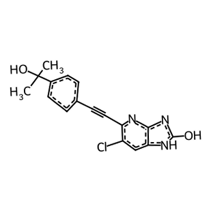 CC(C)(O)c1ccc(C#Cc2nc3nc(O)[nH]c3cc2Cl)cc1